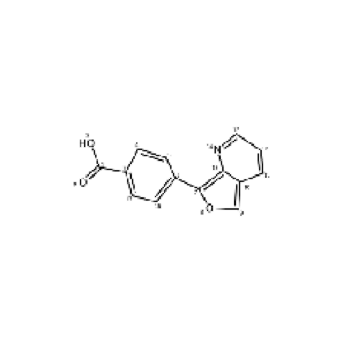 O=C(O)c1ccc(-c2occ3cccnc23)cc1